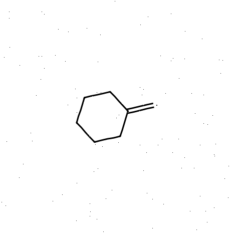 [CH]=C1CCCCC1